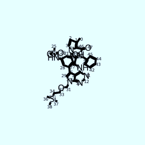 Cc1ccn2nc(C(C)Nc3ncnc4c3c(-c3cc(O)cc(NS(C)(=O)=O)c3)cn4COCC[Si](C)(C)C)n(-c3ccccc3)c(=O)c12